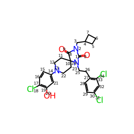 O=C1N(CC2CCC2)C(=O)C2(CCN(c3ccc(Cl)c(O)c3)CC2)N1CCc1ccc(Cl)cc1Cl